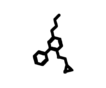 CCCCc1ccc(OCC2CO2)c(-c2ccccc2)c1